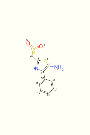 Nc1sc(C[SH](=O)=O)nc1-c1ccccc1